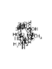 C[n+]1cn([C@@H]2O[C@H](COP(=O)(O)OP(=O)(O)OP(=O)(O)OC[C@H]3O[C@@H](n4cnc5c(=S)[nH]c(N)nc54)[C@@H](O)C3O)C(O)[C@@H]2O)c2nc[nH]c(=O)c21